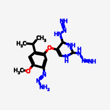 COc1cc(C(C)C)c(OC2=CNC(NN=N)NC2NN=N)cc1N=NN